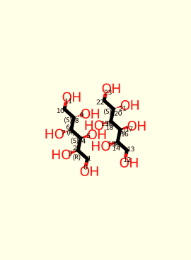 OC[C@@H](O)[C@H](O)[C@H](O)[C@@H](O)CO.OC[C@@H](O)[C@H](O)[C@H](O)[C@@H](O)CO